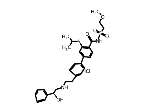 COCCS(=O)(=O)NC(=O)c1ccc(-c2ccc(CCNC[C@@H](O)c3ccccc3)cc2)cc1SC(C)C.Cl